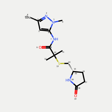 Cn1nc(C(C)(C)C)cc1NC(=O)C(C)(C)SC[C@@H]1CCC(=O)N1